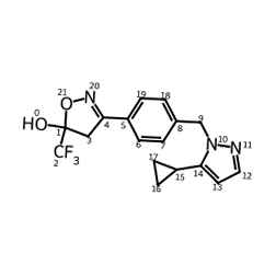 OC1(C(F)(F)F)CC(c2ccc(Cn3nccc3C3CC3)cc2)=NO1